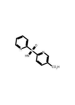 N=S(=O)(c1ccccn1)c1ccc(C(=O)O)cn1